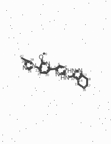 COc1nc(-c2csc(Nc3[nH]nc4c3CCCC4)n2)ccc1-n1cnc(C)c1